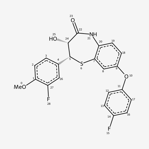 COc1ccc([C@H]2Sc3cc(Oc4ccc(F)cc4)ccc3NC(=O)[C@H]2O)cc1F